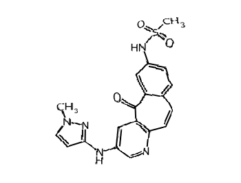 Cn1ccc(Nc2cnc3ccc4ccc(NS(C)(=O)=O)cc4c(=O)c3c2)n1